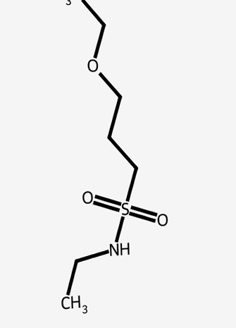 CCNS(=O)(=O)CCCOCC